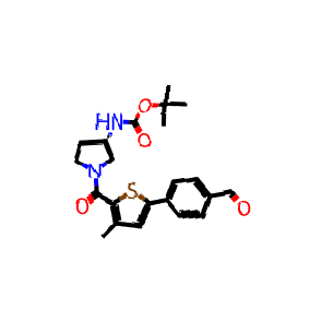 Cc1cc(-c2ccc(C=O)cc2)sc1C(=O)N1CC[C@H](NC(=O)OC(C)(C)C)C1